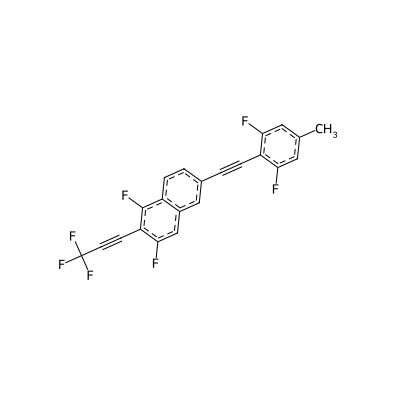 Cc1cc(F)c(C#Cc2ccc3c(F)c(C#CC(F)(F)F)c(F)cc3c2)c(F)c1